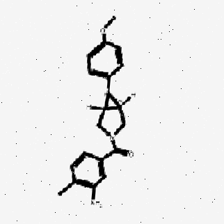 COc1ccc([C@H]2[C@@H]3CN(C(=O)c4ccc(C)c(N)c4)C[C@@H]32)cc1